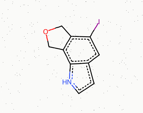 Ic1cc2cc[nH]c2c2c1COC2